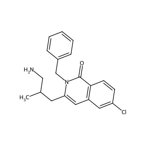 CC(CN)Cc1cc2cc(Cl)ccc2c(=O)n1Cc1ccccc1